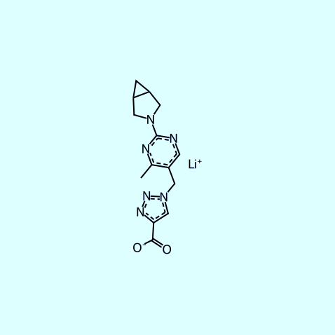 Cc1nc(N2CC3CC3C2)ncc1Cn1cc(C(=O)[O-])nn1.[Li+]